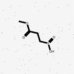 COC(=O)CCS(=O)O